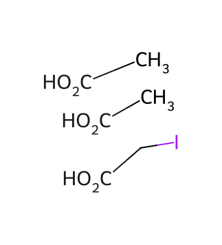 CC(=O)O.CC(=O)O.O=C(O)CI